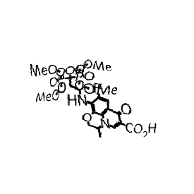 COOP(=O)(OOC)C(O)(CCNc1c(F)cc2c(=O)c(C(=O)O)cn3c2c1OCC3C)P(=O)(OOC)OOC